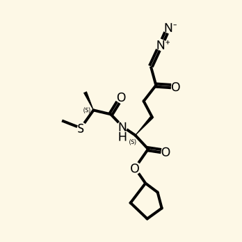 CS[C@@H](C)C(=O)N[C@@H](CCC(=O)C=[N+]=[N-])C(=O)OC1CCCC1